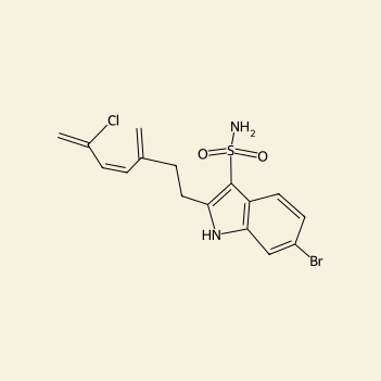 C=C(Cl)/C=C\C(=C)CCc1[nH]c2cc(Br)ccc2c1S(N)(=O)=O